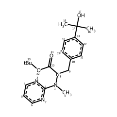 CN(c1ncccn1)N(Cc1ccc(C(C)(C)O)cn1)C(=O)OC(C)(C)C